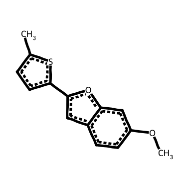 COc1ccc2cc(-c3ccc(C)s3)oc2c1